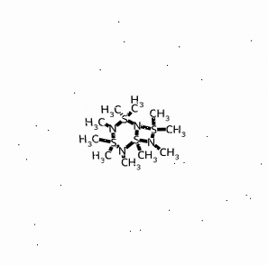 CN1S(C)(C)N(C)S2(C)N(C)S(C)(C)N2S1(C)C